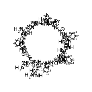 CCCC[C@H]1C(=O)N(C)[C@@H](Cc2ccccc2)C(=O)N[C@@H](CCCNC(=N)N)C(=O)N[C@H](C(=O)NCC(N)=O)CSCC(=O)N[C@@H](Cc2ccccc2)C(=O)N(C)[C@@H](C)C(=O)N[C@@H](CC(N)=O)C(=O)N2CCC[C@H]2C(=O)N[C@@H](Cc2cnc[nH]2)C(=O)NC(CC(C)C)C(=O)N(C)CC(=O)N[C@@H](Cc2c[nH]c3ccccc23)C(=O)N[C@@H](CO)C(=O)N[C@@H](Cc2c[nH]c3ccccc23)C(=O)N1C